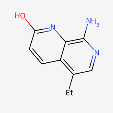 [CH2]Cc1cnc(N)c2nc(O)ccc12